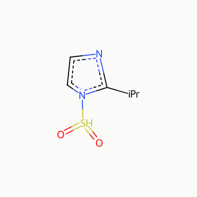 CC(C)c1nccn1[SH](=O)=O